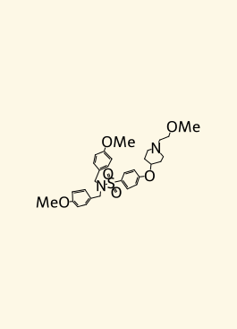 COCCN1CCC(Oc2ccc(S(=O)(=O)N(Cc3ccc(OC)cc3)Cc3ccc(OC)cc3)cc2)CC1